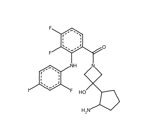 NC1CCCC1C1(O)CN(C(=O)c2ccc(F)c(F)c2Nc2ccc(I)cc2F)C1